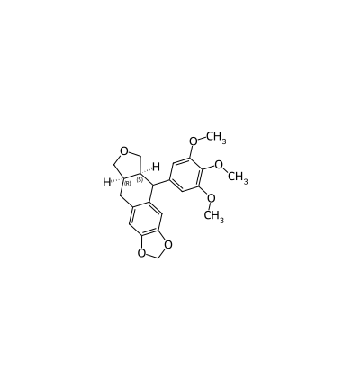 COc1cc(C2c3cc4c(cc3C[C@H]3COC[C@@H]23)OCO4)cc(OC)c1OC